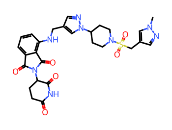 Cn1cc(CS(=O)(=O)N2CCC(n3cc(CNc4cccc5c4C(=O)N(C4CCC(=O)NC4=O)C5=O)cn3)CC2)cn1